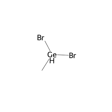 [CH3][GeH]([Br])[Br]